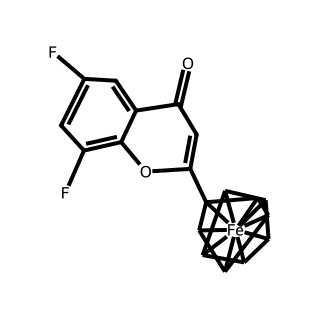 O=c1cc([C]23[CH]4[CH]5[CH]6[CH]2[Fe]56432789[CH]3[CH]2[CH]7[CH]8[CH]39)oc2c(F)cc(F)cc12